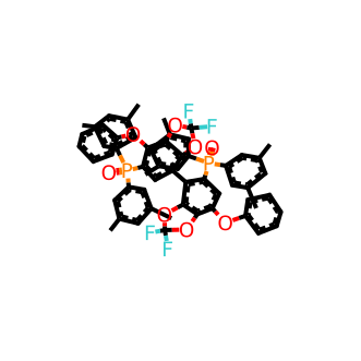 Cc1cc(C)cc(P(=O)(c2cc(C)cc(C)c2)c2cc(-c3c(P(=O)(c4cc(C)cc(C)c4)c4cc(C)cc(C)c4)cc(Oc4ccccc4)c4c3OC(F)(F)O4)c3c(c2Oc2ccccc2)OC(F)(F)O3)c1